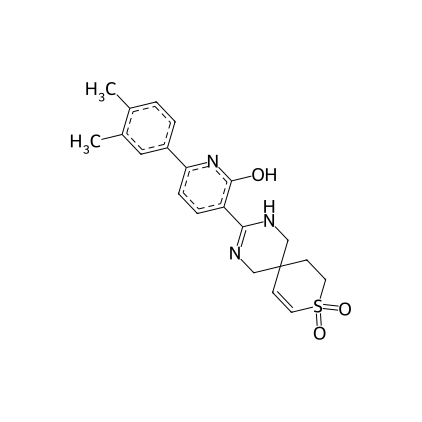 Cc1ccc(-c2ccc(C3=NCC4(C=CS(=O)(=O)CC4)CN3)c(O)n2)cc1C